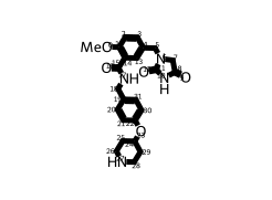 COc1ccc(CN2CC(=O)NC2=O)cc1C(=O)NCc1ccc(OC2CCNCC2)cc1